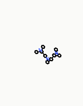 c1ccc(-c2cc(-c3ccc(-n4c5ccccc5c5ccc(-c6ccc7c(c6)c6ccccc6n7-c6ccccc6)cc54)cc3)cc(-c3ccccc3)n2)cc1